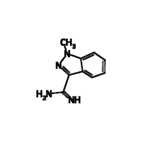 Cn1nc(C(=N)N)c2ccccc21